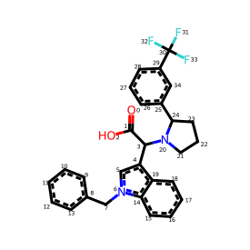 O=C(O)C(c1cn(Cc2ccccc2)c2ccccc12)N1CCCC1c1cccc(C(F)(F)F)c1